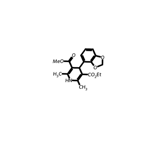 CCOC(=O)C1=C(C)NC(C)=C(C(=O)OC)C1c1cccc2c1OCO2